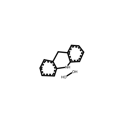 OO.c1ccc2c(c1)Cc1ccccc1N2